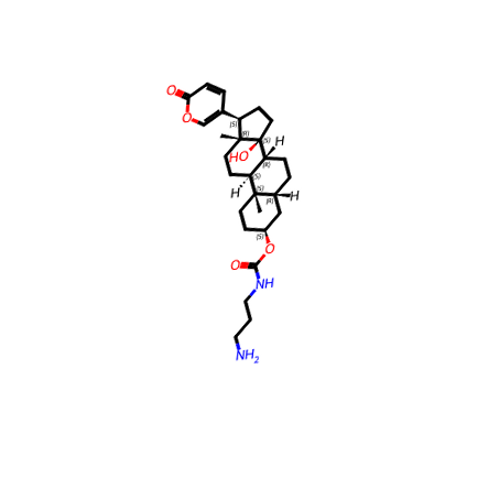 C[C@]12CC[C@H](OC(=O)NCCCN)C[C@H]1CC[C@@H]1[C@@H]2CC[C@]2(C)[C@@H](c3ccc(=O)oc3)CC[C@]12O